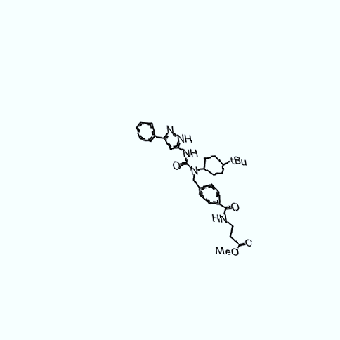 COC(=O)CCNC(=O)c1ccc(CN(C(=O)Nc2cc(-c3ccccc3)n[nH]2)C2CCC(C(C)(C)C)CC2)cc1